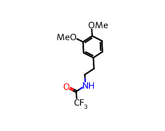 COc1ccc(CCNC(=O)C(F)(F)F)cc1OC